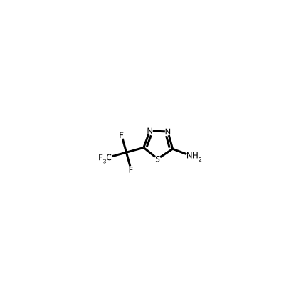 Nc1nnc(C(F)(F)C(F)(F)F)s1